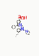 CCCc1ccc2c(c1)N(CCN1CCCCC1)CCn1c-2c(C2CCCCC2)c2ccc(C(=O)O)cc21